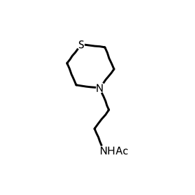 CC(=O)NCCN1CCSCC1